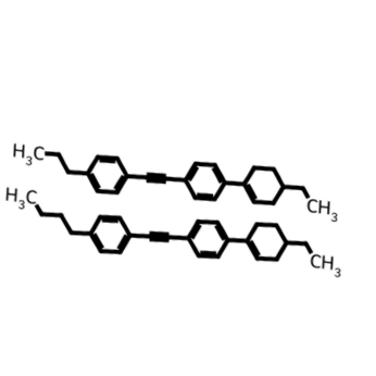 CCCCc1ccc(C#Cc2ccc(C3=CCC(CC)CC3)cc2)cc1.CCCc1ccc(C#Cc2ccc(C3=CCC(CC)CC3)cc2)cc1